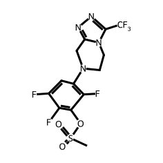 CS(=O)(=O)Oc1c(F)c(F)cc(N2CCn3c(nnc3C(F)(F)F)C2)c1F